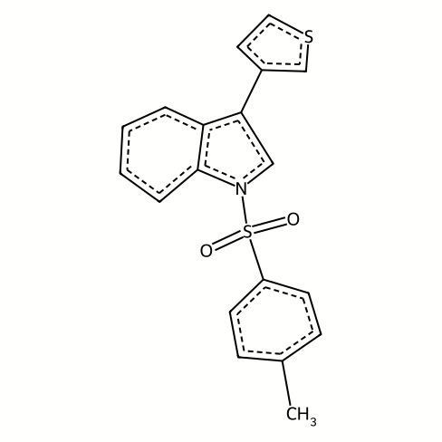 Cc1ccc(S(=O)(=O)n2cc(-c3ccsc3)c3ccccc32)cc1